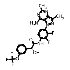 Cc1nc(N)c2c(n1)c(C)nn2-c1ccc(NC(=O)[C@H](O)c2cccc(OC(F)(F)F)c2)c(F)c1F